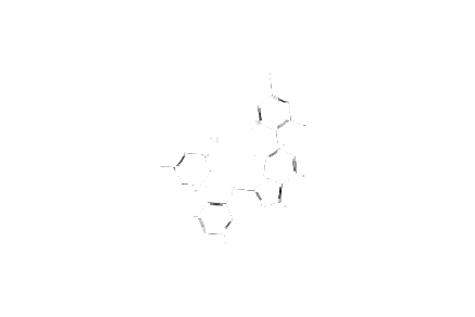 CC1=C[C@H](N)C[C@H](c2ccncc2Nc2ncc3ccc(-c4c(F)cc(C)cc4F)nn23)C1